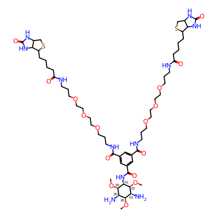 CO[C@H]1[C@@H](N)[C@@H](OC)[C@@H](NC(=O)c2cc(C(=O)NCCCOCCOCCOCCCNC(=O)CCCCC3SCC4NC(=O)NC43)cc(C(=O)NCCCOCCOCCOCCCNC(=O)CCCCC3SCC4NC(=O)NC43)c2)[C@@H](OC)[C@H]1N